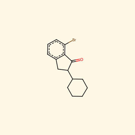 O=C1c2c(Br)cccc2CC1C1CCCCC1